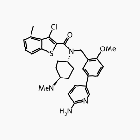 CN[C@H]1CC[C@H](N(Cc2cc(-c3ccc(N)nc3)ccc2OC)C(=O)c2sc3cccc(C)c3c2Cl)CC1